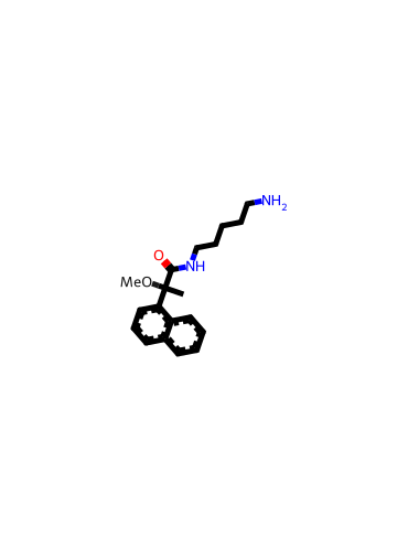 COC(C)(C(=O)NCCCCCN)c1cccc2ccccc12